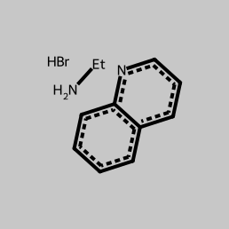 Br.CCN.c1ccc2ncccc2c1